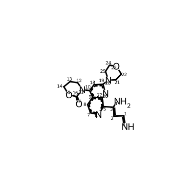 N=C/C=C(\N)c1nccc2c(N3CCCOC3=O)cc(N3CCOCC3)nc12